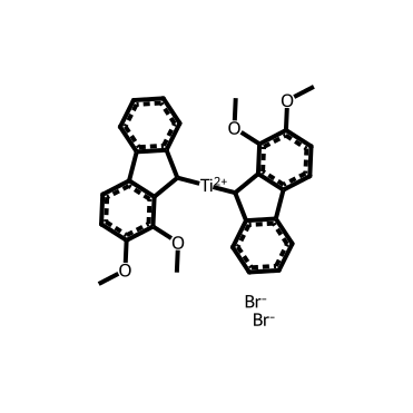 COc1ccc2c(c1OC)[CH]([Ti+2][CH]1c3ccccc3-c3ccc(OC)c(OC)c31)c1ccccc1-2.[Br-].[Br-]